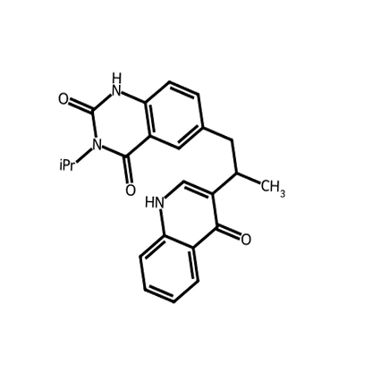 CC(Cc1ccc2[nH]c(=O)n(C(C)C)c(=O)c2c1)c1c[nH]c2ccccc2c1=O